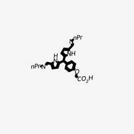 CCC/N=C/c1ccc(C(c2ccc(OCC(=O)O)cc2)c2ccc(/C=N/CCC)[nH]2)[nH]1